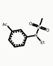 CCN(c1cccc(C(C)=O)c1)S(C)(=O)=O